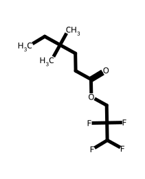 CCC(C)(C)CCC(=O)OCC(F)(F)C(F)F